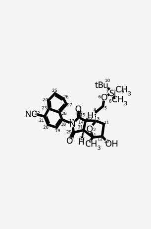 CC12O[C@](CCO[Si](C)(C)C(C)(C)C)(CC1O)[C@H]1C(=O)N(c3ccc(C#N)c4ccccc34)C(=O)[C@H]12